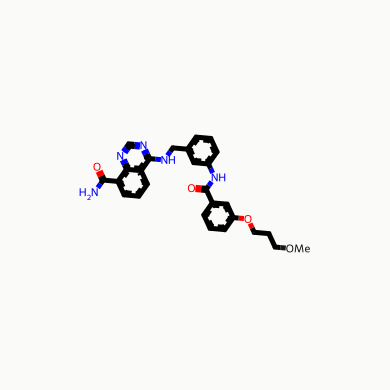 COCCCOc1cccc(C(=O)Nc2cccc(CNc3ncnc4c(C(N)=O)cccc34)c2)c1